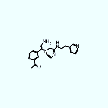 CC(=O)c1cccc(/C(=C/N)N2C=CN=C(NCCc3cccnc3)C2)c1